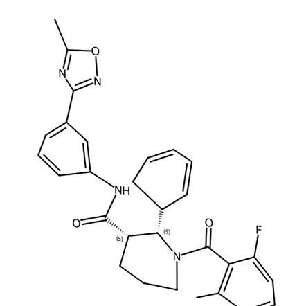 Cc1nc(-c2cccc(NC(=O)[C@H]3CCCN(C(=O)c4c(C)cccc4F)[C@H]3C3C=CC=CC3)c2)no1